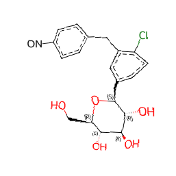 O=Nc1ccc(Cc2cc([C@@H]3O[C@H](CO)[C@@H](O)[C@H](O)[C@H]3O)ccc2Cl)cc1